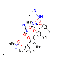 CCCNC(=O)COc1c(CC)cc(CCC)cc1Cc1cc(CC(C)C)cc(Cc2cc(CCC)cc(Cc3cc(CC(C)C)ccc3OCC(=O)NCCN(C)C)c2OCC(=O)NCCC)c1OCC(=O)NCCN(C)C